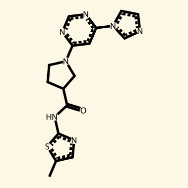 Cc1cnc(NC(=O)C2CCN(c3cc(-n4ccnc4)ncn3)C2)s1